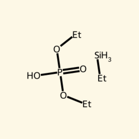 CCOP(=O)(O)OCC.CC[SiH3]